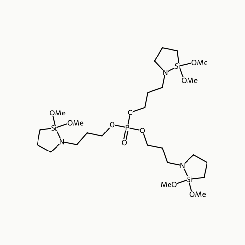 CO[Si]1(OC)CCCN1CCCOP(=O)(OCCCN1CCC[Si]1(OC)OC)OCCCN1CCC[Si]1(OC)OC